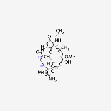 C=CCNC1=C2C[C@@H](C)C[C@H](OC)[C@H](O)C/C=C(\C)[C@H](OC(N)=O)[C@@H](OC)/C=C\C=C(/C)C(=O)NC(=CC1=O)C2=O